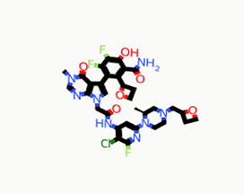 C[C@H]1CN(CC2CCO2)CCN1c1cc(NC(=O)Cn2cc(-c3c(F)c(F)c(O)c(C(N)=O)c3C3CCO3)c3c(=O)n(C)cnc32)c(Cl)c(F)n1